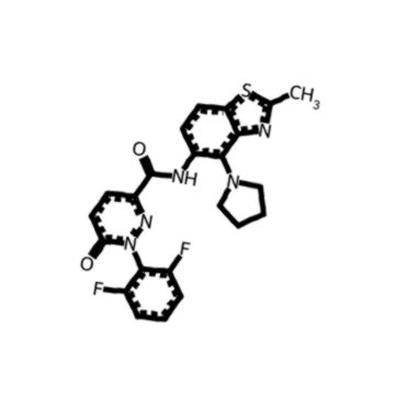 Cc1nc2c(N3CCCC3)c(NC(=O)c3ccc(=O)n(-c4c(F)cccc4F)n3)ccc2s1